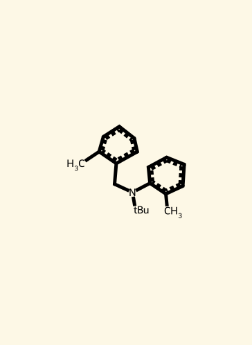 Cc1ccccc1CN(c1ccccc1C)C(C)(C)C